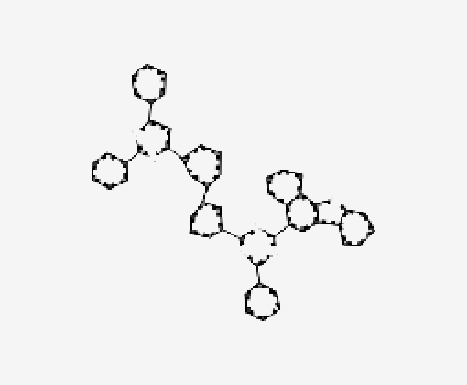 c1ccc(-c2cc(-c3cccc(-c4cccc(-c5nc(-c6ccccc6)nc(-c6cc7c8ccccc8oc7c7ccccc67)n5)c4)c3)nc(-c3ccccc3)n2)cc1